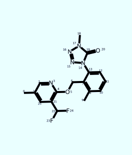 Cc1cnc(OCc2c(C)cccc2-n2nnn(C)c2=O)c(C(F)F)c1